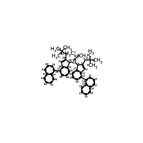 C[Si](C)=[Zr]([CH]1C(CC(C)(C)C)=Cc2c(-c3cccc4ccccc34)cccc21)[CH]1C(CC(C)(C)C)=Cc2c(-c3cccc4ccccc34)cccc21